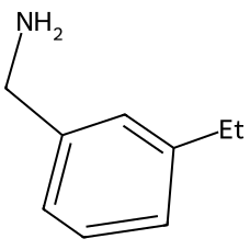 [CH2]Cc1cccc(CN)c1